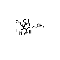 CCCCCC(NC)C(C)N(CC=O)C(=O)O